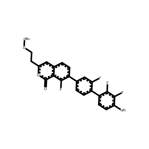 CCCCOCCc1cc2ccc(-c3ccc(-c4ccc(CCC)c(F)c4F)c(F)c3)c(F)c2c(=O)o1